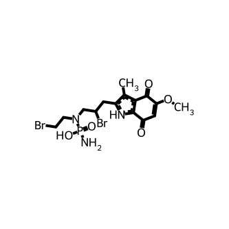 COC1=CC(=O)c2[nH]c(CC(Br)CN(CCBr)P(N)(=O)O)c(C)c2C1=O